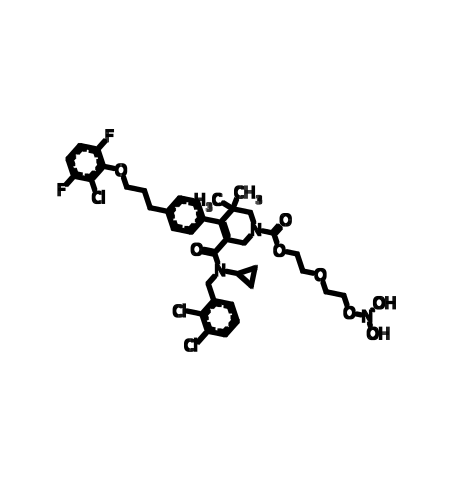 CC1(C)CN(C(=O)OCCOCCON(O)O)CC(C(=O)N(Cc2cccc(Cl)c2Cl)C2CC2)=C1c1ccc(CCCOc2c(F)ccc(F)c2Cl)cc1